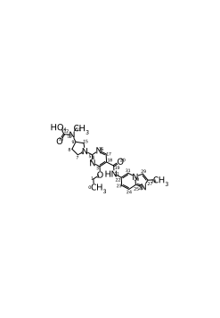 CCOc1nc(N2CCC(N(C)C(=O)O)C2)ncc1C(=O)Nc1ccc2nc(C)cn2c1